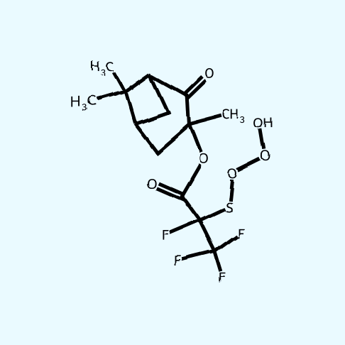 CC1(OC(=O)C(F)(SOOO)C(F)(F)F)CC2CC(C1=O)C2(C)C